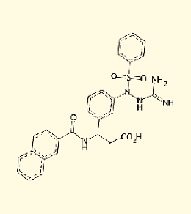 N=C(N)NN(c1cccc(C(CC(=O)O)NC(=O)c2ccc3ccccc3c2)c1)S(=O)(=O)c1ccccc1